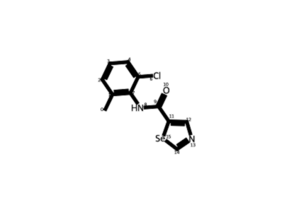 Cc1cccc(Cl)c1NC(=O)c1cnc[se]1